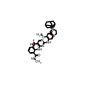 CNC(=O)c1cccc(C)c1Nc1nc(Nc2ccc(OC34CC5CC(C3)C(N3CCOCC3)C(C5)C4)cc2OC)ncc1C(F)(F)F